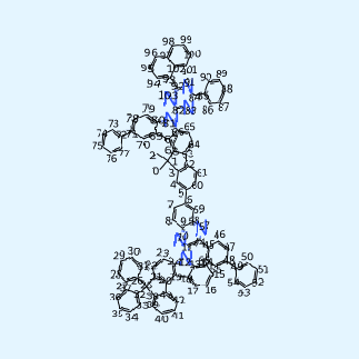 CC1(C)c2cc(-c3ccc4nc(-n5c6ccccc6c6c7c(ccc65)C(c5ccccc5)(c5ccccc5)c5ccccc5-7)c(-c5ccc(-c6ccccc6)cc5)nc4c3)ccc2-c2ccc3c(c21)c1cc(-c2ccccc2)ccc1n3-c1nc(-c2ccccc2)nc(-c2cccc3ccccc23)n1